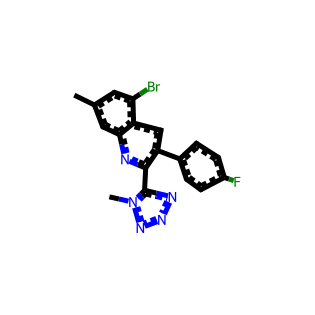 Cc1cc(Br)c2cc(-c3ccc(F)cc3)c(-c3nnnn3C)nc2c1